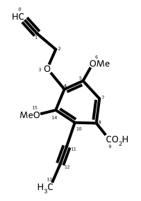 C#CCOc1c(OC)cc(C(=O)O)c(C#CC)c1OC